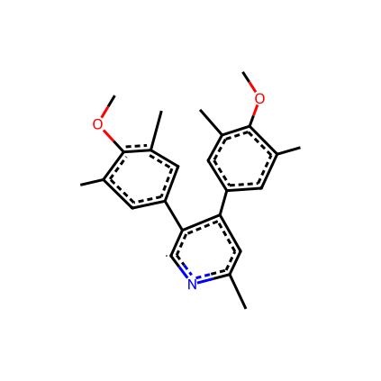 COc1c(C)cc(-c2[c]nc(C)cc2-c2cc(C)c(OC)c(C)c2)cc1C